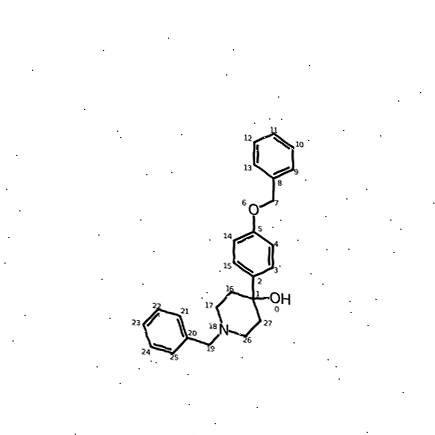 OC1(c2ccc(OCc3ccccc3)cc2)CCN(Cc2ccccc2)CC1